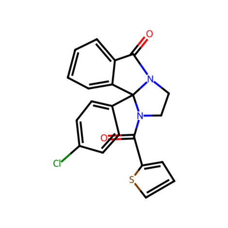 O=C(c1cccs1)N1CCN2C(=O)c3ccccc3C12c1ccc(Cl)cc1